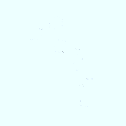 CN(C)CCNC(=O)c1ccc(Nc2ncc3c(n2)-c2ccccc2NC(=O)C3)cc1